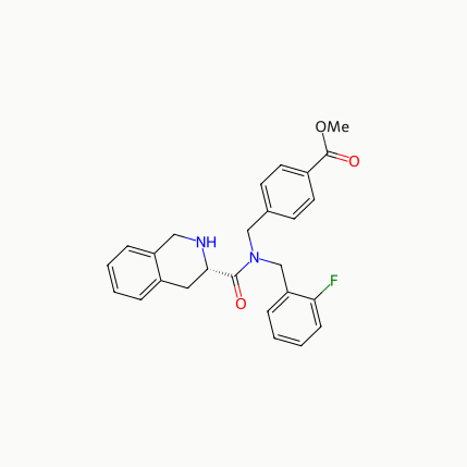 COC(=O)c1ccc(CN(Cc2ccccc2F)C(=O)[C@@H]2Cc3ccccc3CN2)cc1